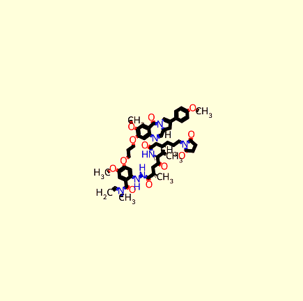 C=CN(C)C(=O)c1cc(OC)c(OCCCOc2cc3c(cc2OC)C(=O)N2C=C(c4ccc(OC)cc4)C[C@H]2C=N3)cc1NNC(=O)[C@H](C)CC(=O)[C@@H](NC(=O)CCCCCN1C(=O)CCC1=O)C(C)C